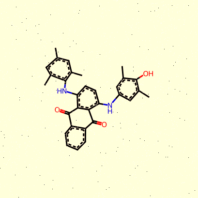 Cc1cc(C)c(Nc2ccc(Nc3cc(C)c(O)c(C)c3)c3c2C(=O)c2ccccc2C3=O)c(C)c1